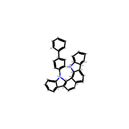 c1ccc(-c2ccc(-n3c4ccccc4c4ccc5ccc6c7ccccc7[nH]c6c5c43)cc2)cc1